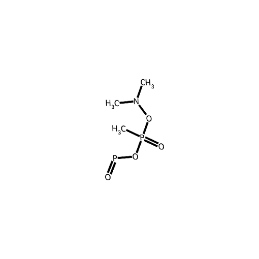 CN(C)OP(C)(=O)OP=O